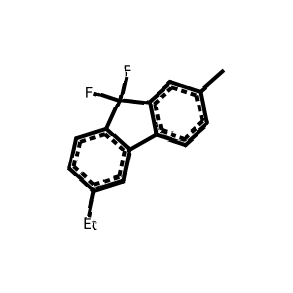 CCc1ccc2c(c1)-c1ccc(C)cc1C2(F)F